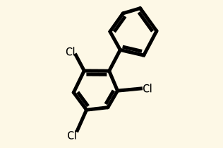 Clc1cc(Cl)c(-c2ccccc2)c(Cl)c1